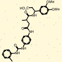 COc1ccc(C(CC(=O)O)NC(=O)C(C)CC(=O)Nc2ccc(NC(=O)Nc3ccccc3C)cc2)cc1OC